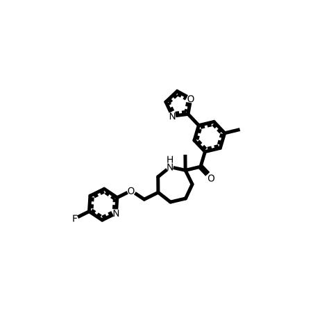 Cc1cc(C(=O)C2(C)CCCC(COc3ccc(F)cn3)CN2)cc(-c2ncco2)c1